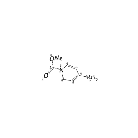 COC(=O)N1C=CC(N)=CC1